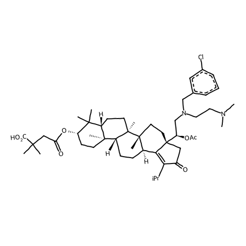 CC(=O)O[C@H](CN(CCN(C)C)Cc1cccc(Cl)c1)[C@@]12CC[C@]3(C)[C@H](CC[C@@H]4[C@@]5(C)CC[C@H](OC(=O)CC(C)(C)C(=O)O)C(C)(C)[C@@H]5CC[C@]43C)C1=C(C(C)C)C(=O)C2